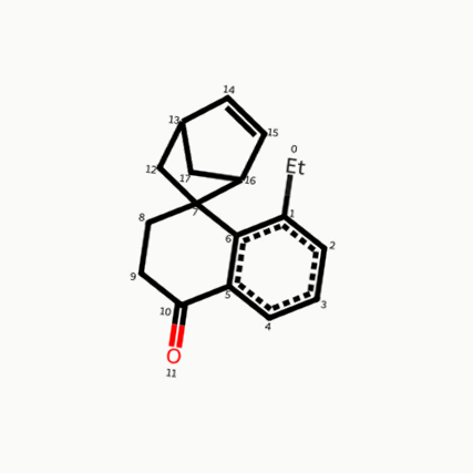 CCc1cccc2c1C1(CCC2=O)CC2C=CC1C2